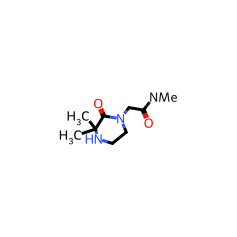 CNC(=O)CN1CCNC(C)(C)C1=O